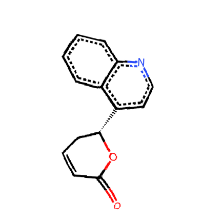 O=C1C=CC[C@H](c2ccnc3ccccc23)O1